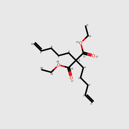 C=CCCCC(CCCC=C)(C(=O)OCC)C(=O)OCC